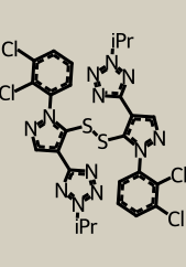 CC(C)n1nnc(-c2cnn(-c3cccc(Cl)c3Cl)c2SSc2c(-c3nnn(C(C)C)n3)cnn2-c2cccc(Cl)c2Cl)n1